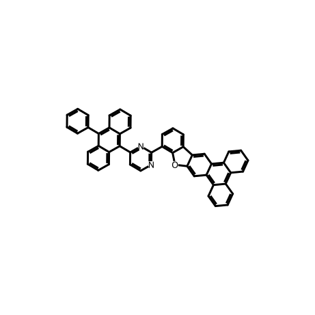 c1ccc(-c2c3ccccc3c(-c3ccnc(-c4cccc5c4oc4cc6c7ccccc7c7ccccc7c6cc45)n3)c3ccccc23)cc1